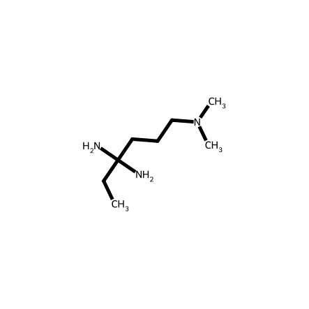 CCC(N)(N)CCCN(C)C